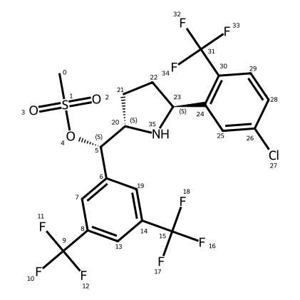 CS(=O)(=O)O[C@@H](c1cc(C(F)(F)F)cc(C(F)(F)F)c1)[C@@H]1CC[C@@H](c2cc(Cl)ccc2C(F)(F)F)N1